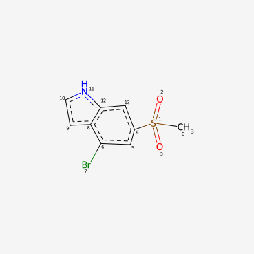 CS(=O)(=O)c1cc(Br)c2cc[nH]c2c1